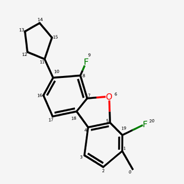 Cc1ccc2c(oc3c(F)c(C4CCCC4)ccc32)c1F